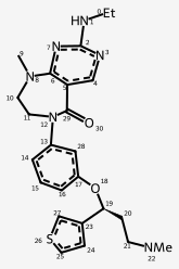 CCNc1ncc2c(n1)N(C)CCN(c1cccc(O[C@@H](CCNC)c3ccsc3)c1)C2=O